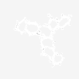 c1ccc2cc3c(cc2c1)c1cc2sc4ccccc4c2cc1n1c2ccccc2nc31